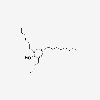 CCCCCCCCc1cc(CCCC)c(O)c(CCCCCC)c1